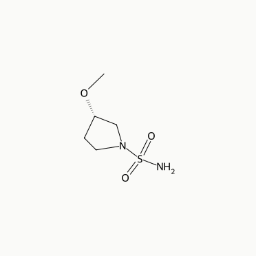 CO[C@H]1CCN(S(N)(=O)=O)C1